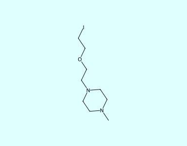 CN1CCN(CCOCCI)CC1